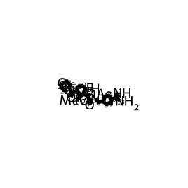 CO[C@@](OC(C)=O)(C(=O)NCc1ccc(C(=N)N)cc1)c1c(F)ccc(C(=O)N2CCOCC2)c1F